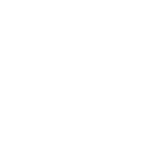 CC(C)C1=CC(C(C)C)COC1O